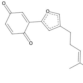 CC(C)=CCCc1coc(C2=CC(=O)C=CC2=O)c1